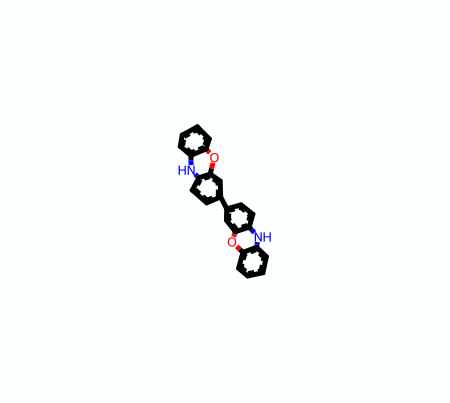 c1ccc2c(c1)Nc1ccc(-c3ccc4c(c3)Oc3ccccc3N4)cc1O2